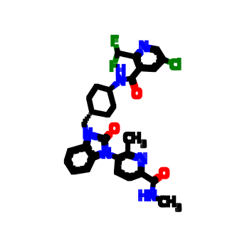 CNC(=O)c1ccc(-n2c(=O)n(C[C@H]3CC[C@H](NC(=O)c4cc(Cl)cnc4C(F)F)CC3)c3ccccc32)c(C)n1